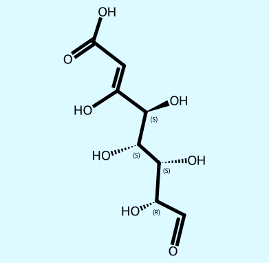 O=C[C@H](O)[C@@H](O)[C@H](O)[C@H](O)C(O)=CC(=O)O